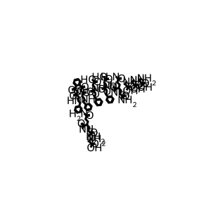 NC(=O)CCC(CCC(N)=O)C(N)=O.NC(=O)CCC(CCC(N)=O)C(N)=O.NCC(=O)O.NCC(=O)O.NCC(=O)O.NCC(=O)O.O=C(CNCc1ccccc1)OC(=O)c1ccccc1C(=O)OC(=O)CNCc1ccccc1.O=C(O)CNC(=O)OCc1ccccc1.O=C(O)CNC(=O)OCc1ccccc1